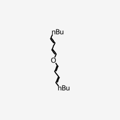 CCCCC=CC=COC=CC=CCCCC